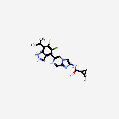 C=C(C)c1c(F)c(Cl)c(-c2cn3cc(NC(=O)C4CC4F)nc3cn2)c2cn[nH]c12